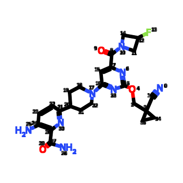 N#CC1(COc2nc(C(=O)N3CC(F)C3)cc(N3CCC(c4ccc(N)c(C(N)=O)n4)CC3)n2)CC1